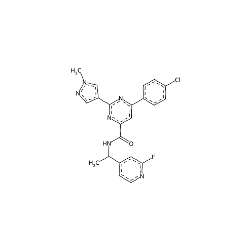 CC(NC(=O)c1cc(-c2ccc(Cl)cc2)nc(-c2cnn(C)c2)n1)c1ccnc(F)c1